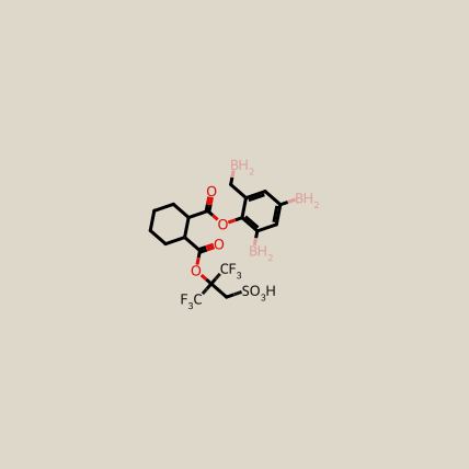 BCc1cc(B)cc(B)c1OC(=O)C1CCCCC1C(=O)OC(CS(=O)(=O)O)(C(F)(F)F)C(F)(F)F